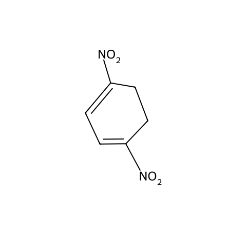 O=[N+]([O-])C1=CC=C([N+](=O)[O-])CC1